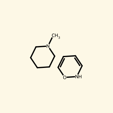 C1=CNOC=C1.CN1CCCCC1